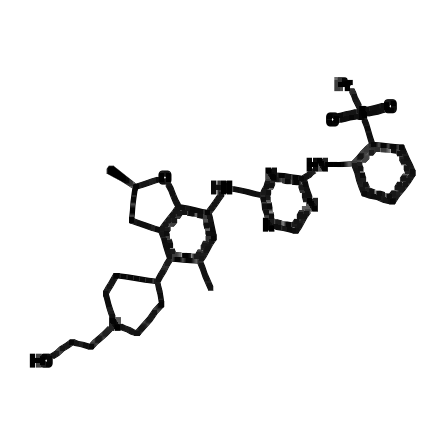 Cc1cc(Nc2ncnc(Nc3ccccc3S(=O)(=O)C(C)C)n2)c2c(c1C1CCN(CCO)CC1)C[C@@H](C)O2